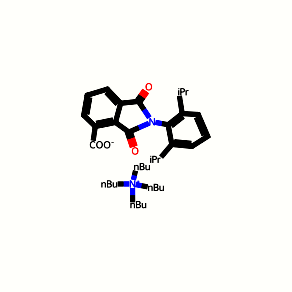 CC(C)c1cccc(C(C)C)c1N1C(=O)c2cccc(C(=O)[O-])c2C1=O.CCCC[N+](CCCC)(CCCC)CCCC